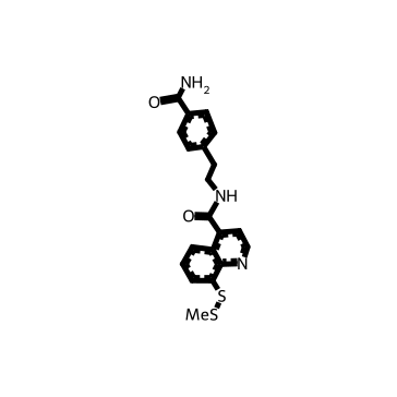 CSSc1cccc2c(C(=O)NCCc3ccc(C(N)=O)cc3)ccnc12